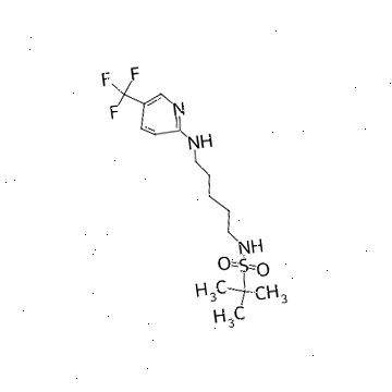 CC(C)(C)S(=O)(=O)NCCCCCNc1ccc(C(F)(F)F)cn1